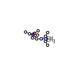 CC1(C)c2cc(-c3ccccc3)ccc2N(c2ccc(-c3ccc4c(c3)C3(c5ccccc5-c5ccccc53)c3c-4cccc3N(c3ccc(-c4ccccc4)cc3)c3ccc(-c4ccccc4)cc3)cc2)c2ccc(-c3ccccc3)cc21